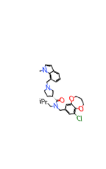 CC(C)CN(Cc1cc(Cl)c2c(c1)OCCCO2)C(=O)[C@@H]1CCN(Cc2cccc3ccn(C)c23)C1